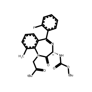 Cc1cccc2c1N(CC(=O)C(C)(C)C)C(=O)[C@@H](NC(=O)OC(C)(C)C)N=C2c1ccccc1F